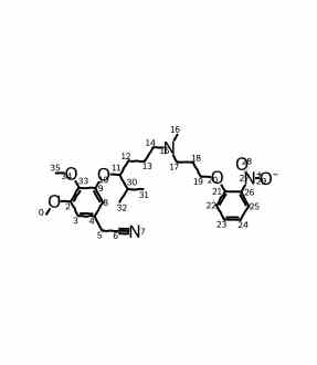 COc1cc(CC#N)cc(OC(CCCN(C)CCCOc2ccccc2[N+](=O)[O-])C(C)C)c1OC